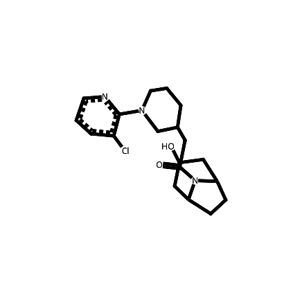 O=C(CC1CCCN(c2ncccc2Cl)C1)N1C2CCC1CC(O)C2